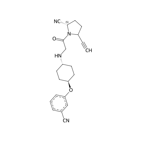 C#CC1CC[C@@H](C#N)N1C(=O)CN[C@H]1CC[C@H](Oc2cccc(C#N)c2)CC1